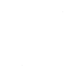 CCCCCCCCCCCCCCCCCCCCCCCCCCC(=O)CC